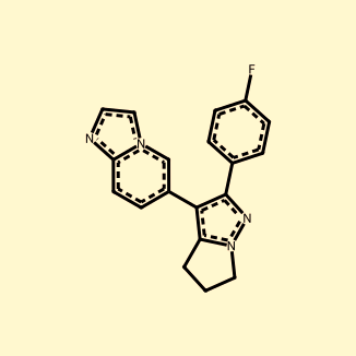 Fc1ccc(-c2nn3c(c2-c2ccc4nccn4c2)CCC3)cc1